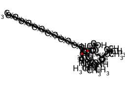 C=C1C=CC(=O)N1[C@@H](Cc1ccc(OCCOCCOCCOCCOCCOCCOCCOCCOCCOCCOCCOC)cc1)C(=O)N[C@H](C(=O)N[C@@H](C)C(=O)Nc1ccc(COC(=O)C(C)(C)C)c(CC[C@@H]2O[C@H](C(=O)O)[C@@H](O)[C@H](O)[C@H]2O)c1)C(C)C